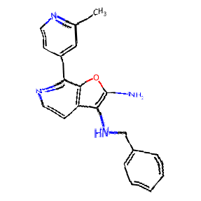 Cc1cc(-c2nccc3c(NCc4ccccc4)c(N)oc23)ccn1